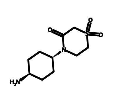 N[C@H]1CC[C@H](N2CCS(=O)(=O)CC2=O)CC1